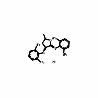 CC1CC(=Nc2c(C(C)C)cccc2C(C)C)C(=Nc2c(C(C)C)cccc2C(C)C)O1.[Ni]